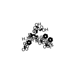 N[c+]1[nH]c(C(c2cs[c+](N)[nH]2)=S2[C+]=NC(N(CC(=O)O)CC(=O)O)=C2)cs1.O=C([O-])CS(=O)(=O)c1ccccc1.O=C([O-])CS(=O)(=O)c1ccccc1.O=C([O-])CS(=O)(=O)c1ccccc1.S.S